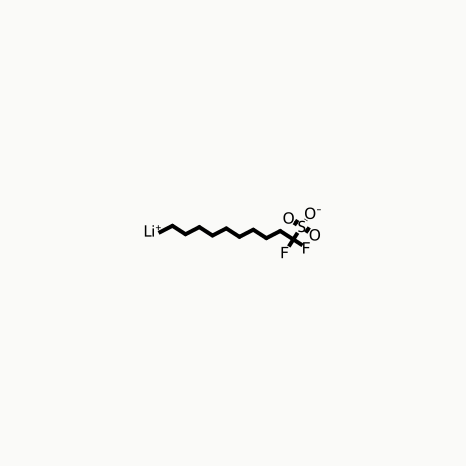 CCCCCCCCCCC(F)(F)S(=O)(=O)[O-].[Li+]